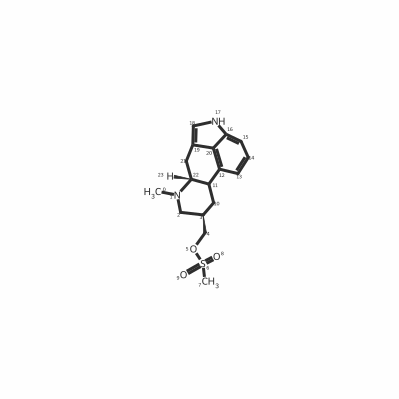 CN1C[C@H](COS(C)(=O)=O)CC2c3cccc4[nH]cc(c34)C[C@H]21